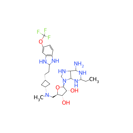 CCC1NC(N)C2NCN([C@@H]3O[C@H](CN(C)[C@H]4C[C@@H](CCC5Nc6ccc(OC(F)(F)F)cc6N5)C4)[C@@H](O)[C@H]3O)C2N1